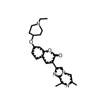 CCN1CCC(Oc2ccc3cc(-c4cn5cc(C)nc(C)c5n4)c(=O)oc3c2)CC1